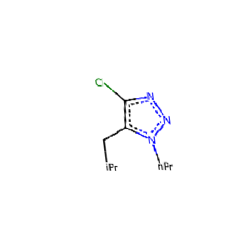 CCCn1nnc(Cl)c1CC(C)C